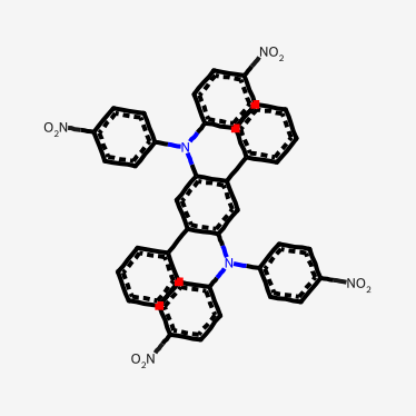 O=[N+]([O-])c1ccc(N(c2ccc([N+](=O)[O-])cc2)c2cc(-c3ccccc3)c(N(c3ccc([N+](=O)[O-])cc3)c3ccc([N+](=O)[O-])cc3)cc2-c2ccccc2)cc1